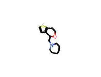 c1cc2c(s1)CCOC2CN1CCCCCC1